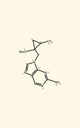 COC1(Cn2cnc3cnc(N)nc32)CC1C